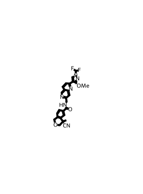 COc1nn(C(F)F)cc1-c1ccc2cnc(CNC(=O)c3ccc4c(c3)[C@](C)(C#N)COC4)cc2n1